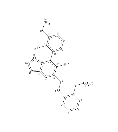 CCOC(=O)Cc1ccccc1OCc1cc2ccoc2c(-c2cccc(CN)c2F)c1F